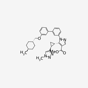 COC(=O)c1cnn(-c2cccc(-c3cccc(OC[C@H]4CC[C@H](C)CC4)c3)c2)c1[C@H]1C[C@@H]1c1cn(C)nn1